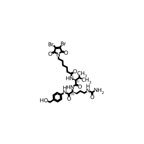 CC(C)[C@H](NC(=O)CCCCCN1C(=O)C(Br)=C(Br)C1=O)C(=O)N[C@@H](CCCNC(N)=O)C(=O)Nc1ccc(CO)cc1